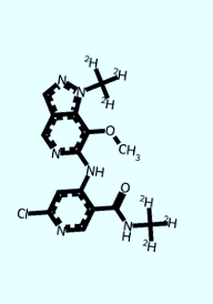 [2H]C([2H])([2H])NC(=O)c1cnc(Cl)cc1Nc1ncc2cnn(C([2H])([2H])[2H])c2c1OC